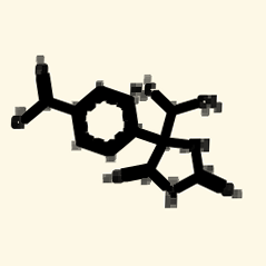 CC(C)C1(c2ccc(C(=O)Cl)cc2)NC(=O)NC1=O